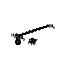 CCCCCCCCCCCCCCCCCC[N+](C)(C)Cc1ccccc1.O=S(=O)([O-])C(F)(F)F